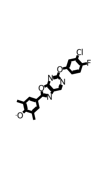 Cc1cc(-c2nc3cnc(Oc4ccc(F)c(Cl)c4)nc3o2)cc(C)c1[O]